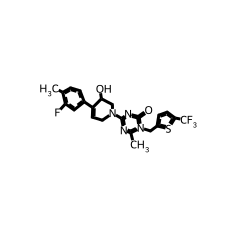 Cc1ccc(C2=CCN(c3nc(C)n(Cc4ccc(C(F)(F)F)s4)c(=O)n3)CC2O)cc1F